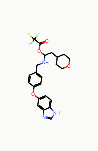 O=C(OC(CC1CCOCC1)NCc1ccc(Oc2ccc3[nH]cnc3c2)cc1)C(F)(F)F